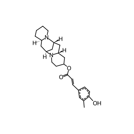 Cc1cc(/C=C/C(=O)OC2CCN3[C@@H]4C[C@@H](C[C@@H]3C2)N2CCCC[C@@H]2C4)ccc1O